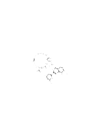 COc1ccc2c(OC3CC4C(=O)NC(C(=O)O)CCC=CCCCCN(C)C(=O)[N+]4C3)nc(-c3cccc(C)n3)nc2c1C